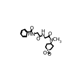 CN(C(=O)CNC(=O)CNC(=O)c1ccccc1)C1CCS(=O)(=O)CC1